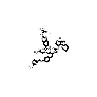 Cc1nc(COc2ccc(C[C@H](NC(=O)O[C@H]3CO[C@H]4OC[C@@]5(CCCCCN5)[C@H]43)[C@H](O)CN(CC(C)C)S(=O)(=O)c3ccc4nc(NC(C)C)sc4c3)cc2)cs1